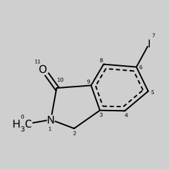 CN1Cc2ccc(I)cc2C1=O